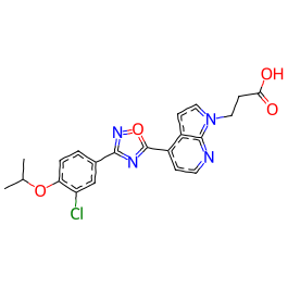 CC(C)Oc1ccc(-c2noc(-c3ccnc4c3ccn4CCC(=O)O)n2)cc1Cl